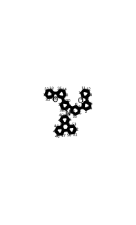 C1=C(c2cccc3c2oc2ccccc23)CCc2c1c1cc(-c3cccc4c3oc3ccccc34)ccc1n2-c1ccc2c3ccccc3c3ccccc3c2c1